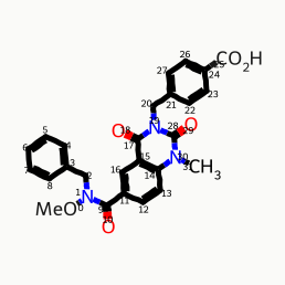 CON(Cc1ccccc1)C(=O)c1ccc2c(c1)c(=O)n(Cc1ccc(C(=O)O)cc1)c(=O)n2C